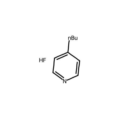 CCCCc1ccncc1.F